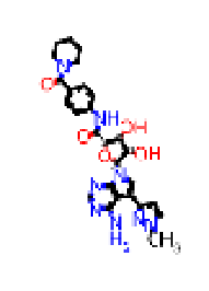 Cn1ccc(-c2cn([C@@H]3O[C@H](C(=O)Nc4ccc(C(=O)N5CCCCC5)cc4)[C@@H](O)[C@H]3O)c3ncnc(N)c23)n1